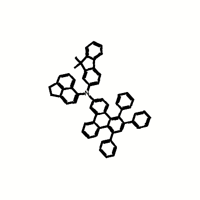 CC1(C)c2ccccc2-c2ccc(N(c3ccc4c(c3)c3ccccc3c3c(-c5ccccc5)cc(-c5ccccc5)c(-c5ccccc5)c43)c3ccc4c5c(cccc35)CC4)cc21